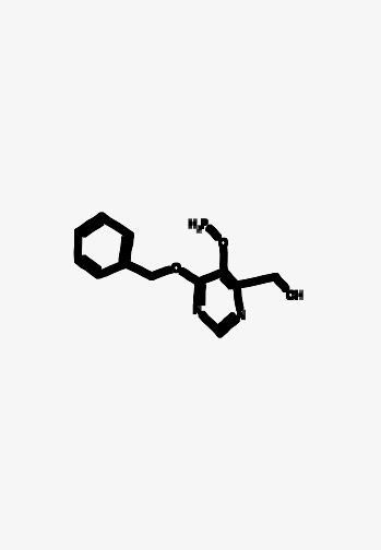 OCc1ncnc(OCc2ccccc2)c1OP